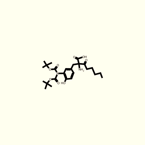 CCCCCC(=O)C(N)(Cc1ccc(O)c(N(C(=O)OC(C)(C)C)C(=O)OC(C)(C)C)c1)C(=O)O